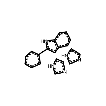 c1c[nH]cn1.c1c[nH]cn1.c1ccc(-c2cc3ccccc3[nH]2)cc1